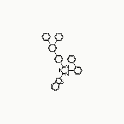 c1ccc(-c2ccc(-c3ccc(-c4nc(-c5cc6ccccc6s5)nc(-c5ccccc5-c5ccccc5)n4)cc3)cc2-c2ccccc2)cc1